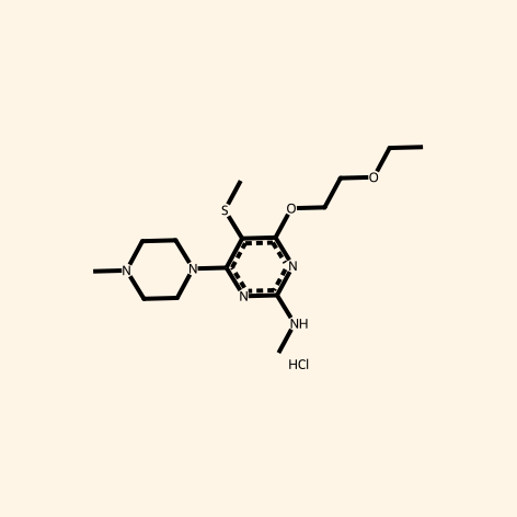 CCOCCOc1nc(NC)nc(N2CCN(C)CC2)c1SC.Cl